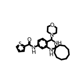 O=C(Nc1ccc2c(c1)NC1(CCCCCCCC1)NC2N1CCOCC1)c1cccs1